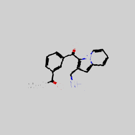 COC(=O)c1cccc(C(=O)c2c(CN)cc3ccccn23)c1